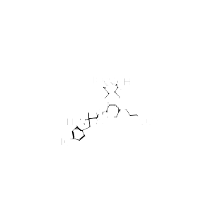 CC(N)(Cc1ccc(O)cc1)C(=O)O[C@@H]1OC[C@H](CCCC(=O)O)[C@H](CCCC(=O)O)[C@H]1CCCC(=O)O